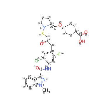 Cn1nc(C(=O)Nc2cc(F)c(CC(=O)CSN3CCC[C@H]3CO[C@H]3CC[C@H](C(=O)O)CC3)cc2Cl)c2ccccc21